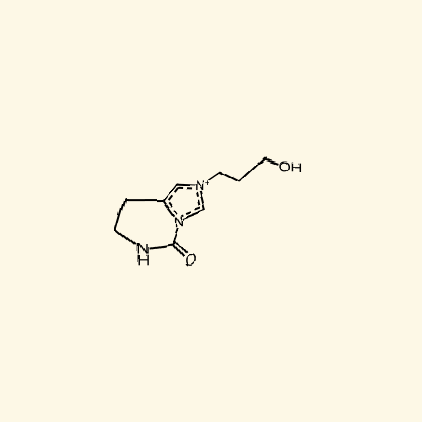 O=C1NCCc2c[n+](CCCO)cn21